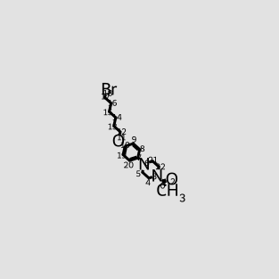 CC(=O)N1CCN(c2ccc(OCCCCCCBr)cc2)CC1